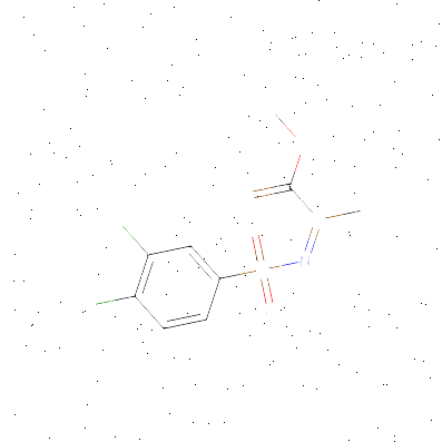 COC(=S)S(C)=NS(=O)(=O)c1ccc(Cl)c(Cl)c1